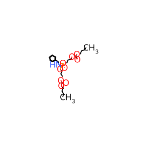 CCCCOC(=O)OCCCOP(=O)(NCc1ccccc1)OCCCOC(=O)OCCCC